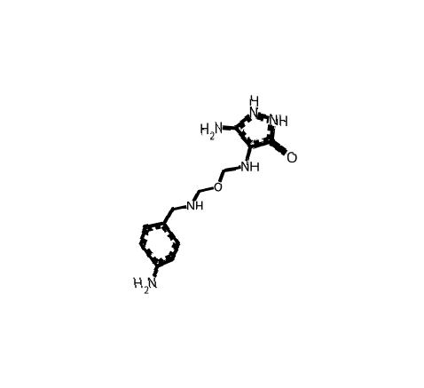 Nc1ccc(CNCOCNc2c(N)[nH][nH]c2=O)cc1